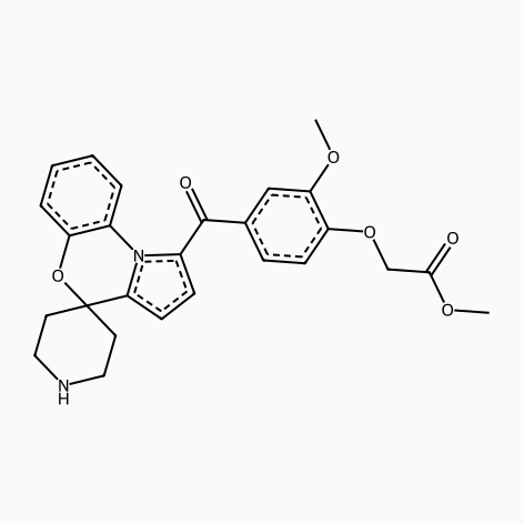 COC(=O)COc1ccc(C(=O)c2ccc3n2-c2ccccc2OC32CCNCC2)cc1OC